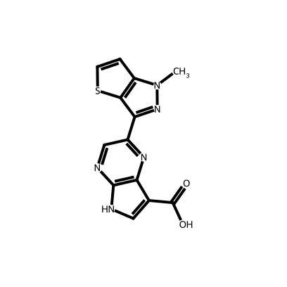 Cn1nc(-c2cnc3[nH]cc(C(=O)O)c3n2)c2sccc21